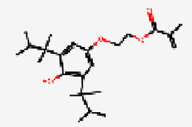 C=C(C)C(=O)OCCOc1cc(C(C)(C)C(C)C)c(O)c(C(C)(C)C(C)C)c1